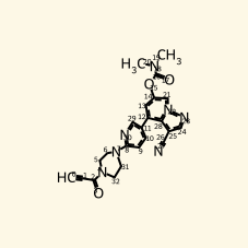 C#CC(=O)N1CCN(c2ccc(-c3cc(OC(=O)N(C)C)cn4ncc(C#N)c34)cn2)CC1